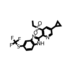 CCS(=O)(=O)c1cc(C2CC2)cnc1-c1nc2cc(SC(F)(F)F)ccc2[nH]1